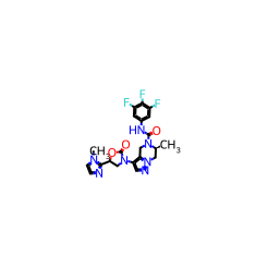 C[C@H]1Cn2ncc(N3CC(c4nccn4C)OC3=O)c2CN1C(=O)Nc1cc(F)c(F)c(F)c1